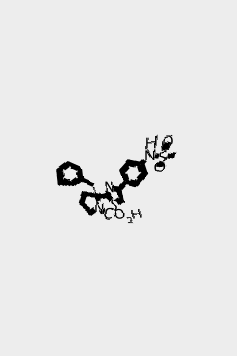 CS(=O)(=O)Nc1ccc(-c2csc([C@]3(Cc4ccccc4)CCCN3C(=O)O)n2)cc1